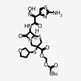 CC(C)(C)C(=O)OCOC(=O)C1(SC2CCOC2)CS[C@@H]2C(NC(=O)C(=NO)c3csc(N)n3)C(=O)N2C1